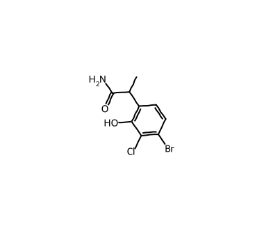 CC(C(N)=O)c1ccc(Br)c(Cl)c1O